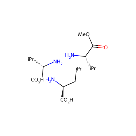 CC(C)C[C@H](N)C(=O)O.CC(C)[C@H](N)C(=O)O.COC(=O)[C@@H](N)C(C)C